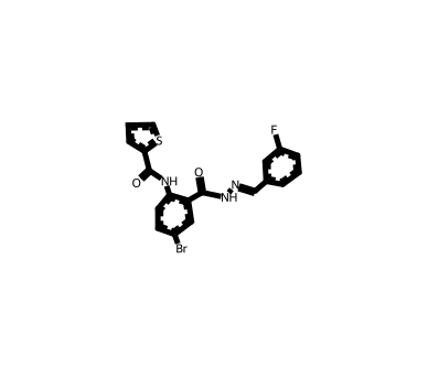 O=C(Nc1ccc(Br)cc1C(=O)NN=Cc1cccc(F)c1)c1cccs1